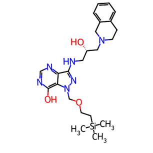 C[Si](C)(C)CCOCn1nc(NC[C@H](O)CN2CCc3ccccc3C2)c2ncnc(O)c21